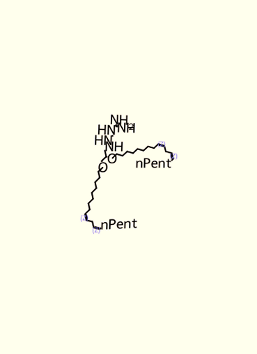 CCCCC/C=C\C/C=C\CCCCCCCCOCC(CNNCNC(=N)N)OCCCCCCCC/C=C\C/C=C\CCCCC